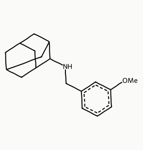 COc1cccc(CNC2C3CC4CC(C3)CC2C4)c1